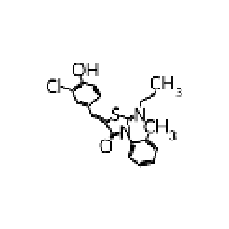 CCC/N=C1\S/C(=C\c2ccc(O)c(Cl)c2)C(=O)N1c1ccccc1C